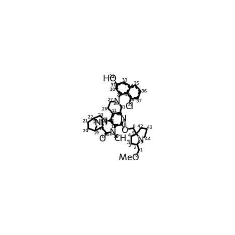 COCC1CCC2(COc3nc4c(c5c3N(C)C(=O)C3C6CCC(CN53)N6)CCN(c3cc(O)cc5cccc(Cl)c35)C4)CCCN12